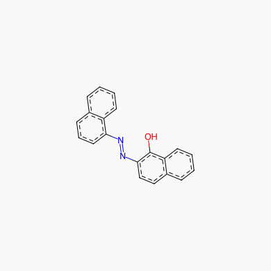 Oc1c(N=Nc2cccc3ccccc23)ccc2ccccc12